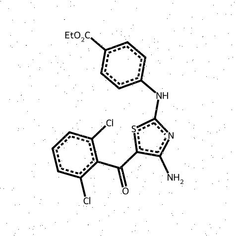 CCOC(=O)c1ccc(Nc2nc(N)c(C(=O)c3c(Cl)cccc3Cl)s2)cc1